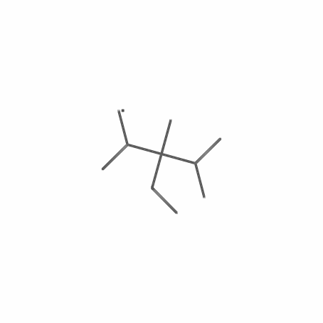 [CH2]C(C)C(C)(CC)C(C)C